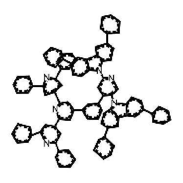 c1ccc(-c2ccc3c(c2)c2cc(-c4ccccc4)ccc2n3-c2cc(-c3cccc(-c4cc(-c5cc(-c6ccccc6)nc(-c6ccccc6)c5)nc(-c5cc(-c6ccccc6)nc(-c6ccccc6)c5)c4)c3)c(-n3c4ccc(-c5ccccc5)cc4c4cc(-c5ccccc5)ccc43)cn2)cc1